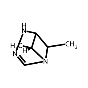 CC1C2NN=CN1[C@@H]2C